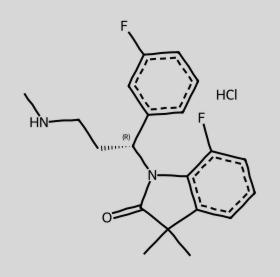 CNCC[C@H](c1cccc(F)c1)N1C(=O)C(C)(C)c2cccc(F)c21.Cl